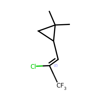 CC1(C)CC1/C=C(\Cl)C(F)(F)F